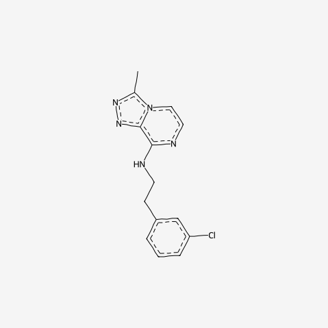 Cc1nnc2c(NCCc3cccc(Cl)c3)nccn12